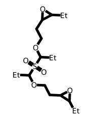 CCC1OC1CCOC(CC)S(=O)(=O)C(CC)OCCC1OC1CC